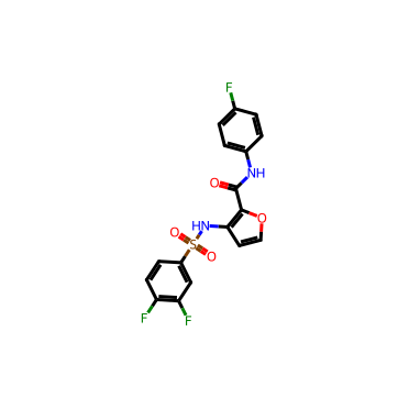 O=C(Nc1ccc(F)cc1)c1occc1NS(=O)(=O)c1ccc(F)c(F)c1